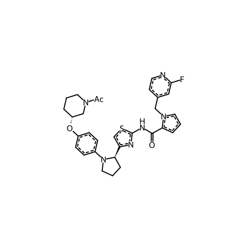 CC(=O)N1CCC[C@@H](Oc2ccc(N3CCC[C@@H]3c3csc(NC(=O)c4cccn4Cc4ccnc(F)c4)n3)cc2)C1